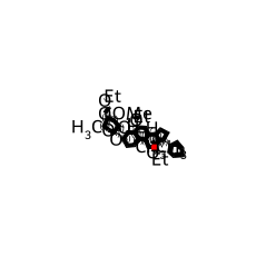 CCOCO[C@@H]1[C@H](O[C@H]2CC[C@@]3(C)[C@H](CC[C@@H]4[C@@H]3CC[C@]3(C)[C@@H](c5ccccc5)CC[C@]43OCOCC)C2)O[C@@H](C)[C@H](OCOCC)[C@H]1OC